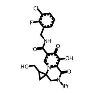 CC(C)N1CC2(CC2CO)n2cc(C(=O)NCc3cccc(Cl)c3F)c(=O)c(O)c2C1=O